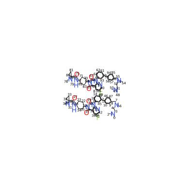 CN(C)CCN(C)Cc1ccc(-c2cccc(-n3c(=O)n(C4CCC(NC(=O)C5(N(C)C)CC5)CC4)c(=O)c4cc(F)cnc43)c2)cc1.CN(C)CCN(C)Cc1ccc(-c2cccc(-n3c(=O)n(C4CCC(NC(=O)C5(N(C)C)CC5)CC4)c(=O)c4cc(F)cnc43)c2)cc1